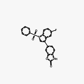 O=c1[nH]c2ccc(-c3cn(S(=O)(=O)c4ccccc4)c4ccc(F)cc34)cc2o1